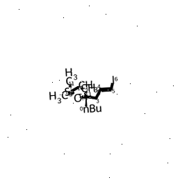 CCCC[C@@](C)(CC=CI)O[Si](C)(C)C